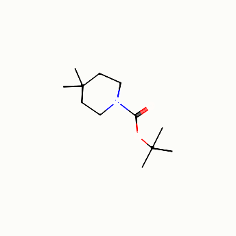 CC1(C)CCN(C(=O)OC(C)(C)C)CC1